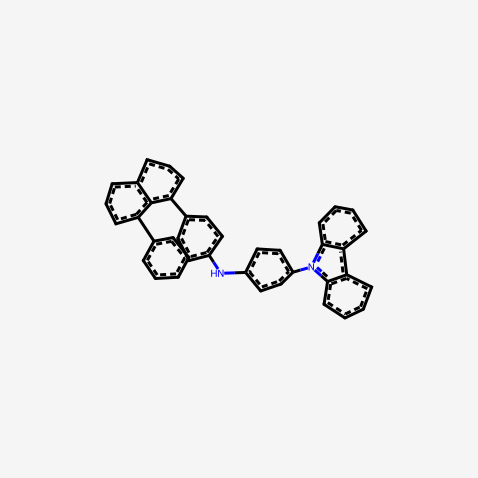 c1ccc(-c2cccc3cccc(-c4ccc(Nc5ccc(-n6c7ccccc7c7ccccc76)cc5)cc4)c23)cc1